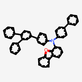 c1ccc(-c2ccc(N(c3ccc(-c4ccc(-c5ccccc5)c(-c5ccccc5)c4)cc3)c3cccc4c3oc3ccccc34)cc2)cc1